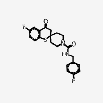 O=C1CC2(CCN(C(=O)NCc3ccc(F)cc3)CC2)Sc2ccc(F)cc21